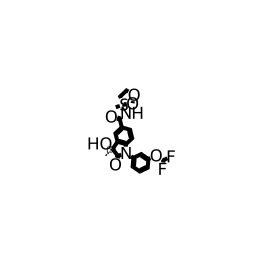 C[C@@]1(O)C(=O)N(c2cccc(OC(F)F)c2)c2ccc(C(=O)NS3(C)CCOO3)cc21